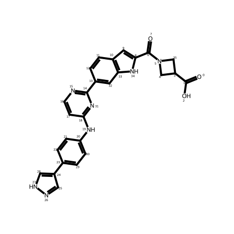 O=C(O)C1CN(C(=O)c2cc3ccc(-c4nccc(Nc5ccc(-c6cn[nH]c6)cc5)n4)cc3[nH]2)C1